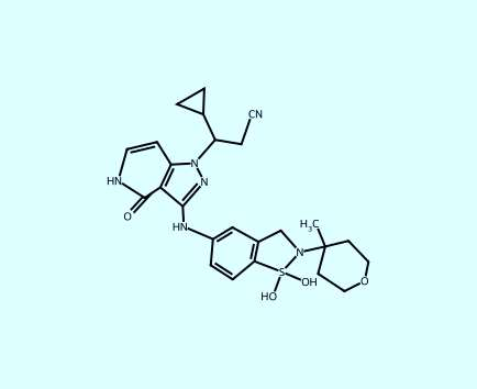 CC1(N2Cc3cc(Nc4nn(C(CC#N)C5CC5)c5cc[nH]c(=O)c45)ccc3S2(O)O)CCOCC1